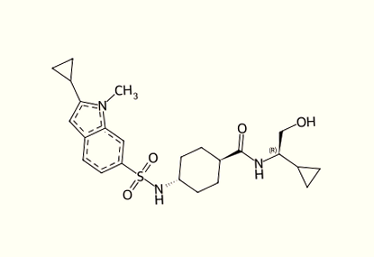 Cn1c(C2CC2)cc2ccc(S(=O)(=O)N[C@H]3CC[C@H](C(=O)N[C@@H](CO)C4CC4)CC3)cc21